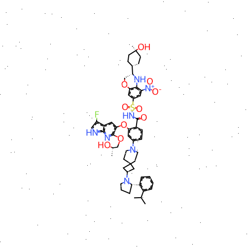 CC(C)c1ccccc1[C@@H]1CCCN1C1CC2(CCN(c3ccc(C(=O)NS(=O)(=O)c4cc5c(c([N+](=O)[O-])c4)N[C@@H]([C@H]4CC[C@](C)(O)CC4)CO5)c(Oc4cc5c(F)c[nH]c5nc4OC[C@H](C)O)c3)CC2)C1